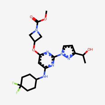 COC(=O)N1CC(Oc2cc(NC3CCC(F)(F)CC3)nc(-n3ccc(C(C)O)n3)n2)C1